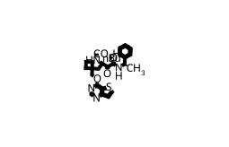 CCCCC(CC1(COc2ncnc3ccsc23)CCC1)(NC(=O)O)C(=O)C(=O)N[C@H](C)c1ccccc1